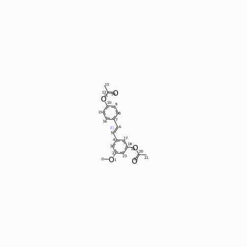 COc1cc(/C=C/c2ccc(OC(C)=O)cc2)cc(OC(C)=O)c1